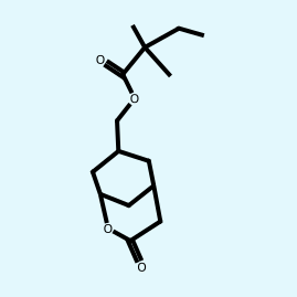 CCC(C)(C)C(=O)OCC1CC2CC(=O)OC(C1)C2